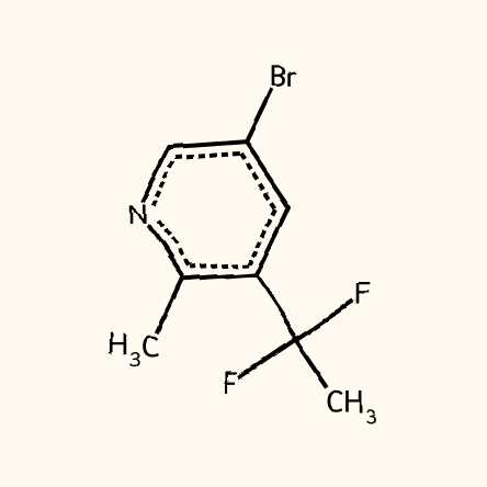 Cc1ncc(Br)cc1C(C)(F)F